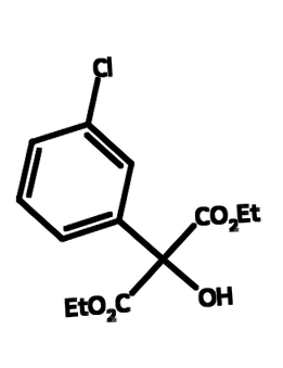 CCOC(=O)C(O)(C(=O)OCC)c1cccc(Cl)c1